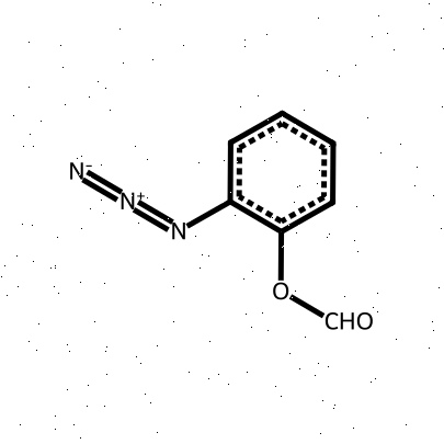 [N-]=[N+]=Nc1ccccc1OC=O